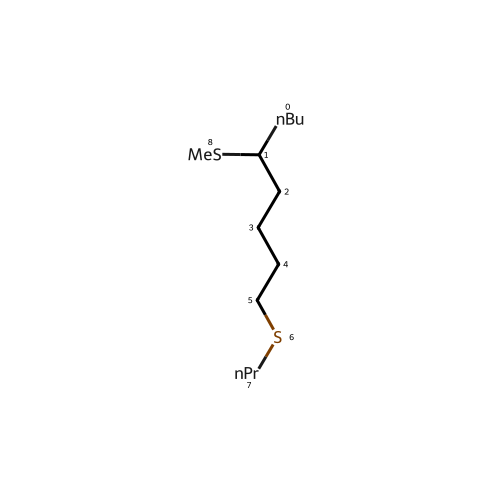 [CH2]CCCC(CCCCSCCC)SC